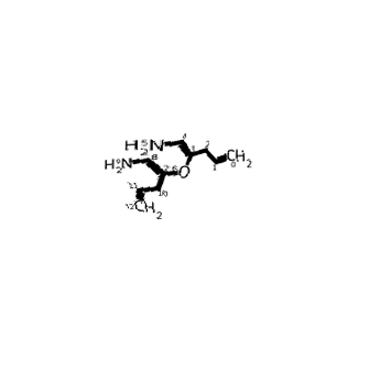 C=CCC(=CN)OC(=CN)CC=C